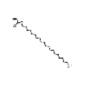 C=CC(=O)OCCCCCCCCCCCCCCCCCCCCO